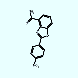 NC(=O)c1cccc2oc(-c3ccc([N+](=O)[O-])cc3)nc12